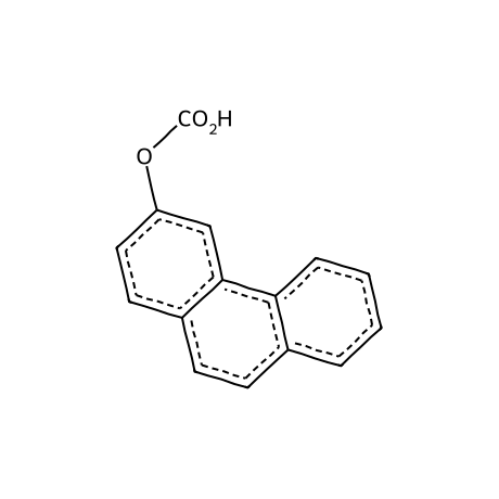 O=C(O)Oc1ccc2ccc3ccccc3c2c1